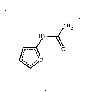 NC(=O)Nc1ccco1